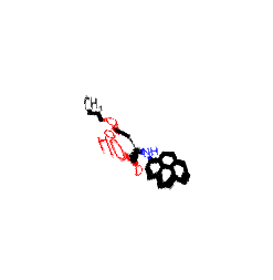 CCCCOC(=O)C[C@H](Nc1ccc2ccc3cccc4ccc1c2c34)C(=O)O